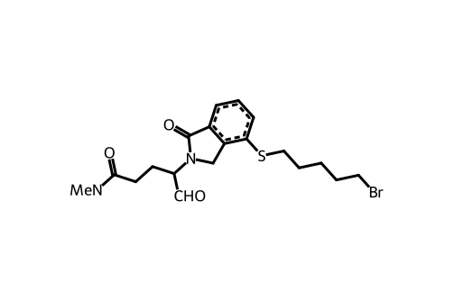 CNC(=O)CCC(C=O)N1Cc2c(SCCCCCBr)cccc2C1=O